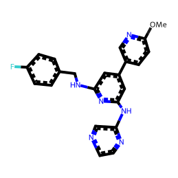 COc1ccc(-c2cc(NCc3ccc(F)cc3)nc(Nc3cnccn3)c2)cn1